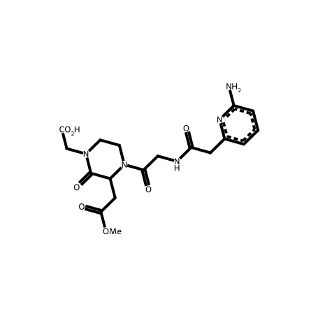 COC(=O)CC1C(=O)N(CC(=O)O)CCN1C(=O)CNC(=O)Cc1cccc(N)n1